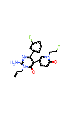 C=CCn1c(N)nc(-c2cccc(F)c2)c(-c2ccc(=O)n(CCF)c2)c1=O